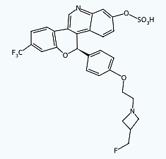 O=S(=O)(O)Oc1ccc2c3c(cnc2c1)-c1ccc(C(F)(F)F)cc1O[C@@H]3c1ccc(OCCN2CC(CF)C2)cc1